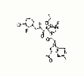 CCO[C@H]1[C@@H](C(=O)NCc2cccc(Cl)c2F)N(C(=O)Cn2cc(C(C)=O)c3cc(C)ncc32)C[C@@H]1F